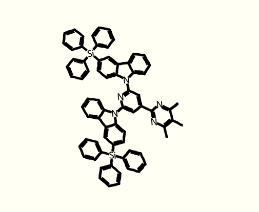 Cc1nc(-c2cc(-n3c4ccccc4c4cc([Si](c5ccccc5)(c5ccccc5)c5ccccc5)ccc43)nc(-n3c4ccccc4c4cc([Si](c5ccccc5)(c5ccccc5)c5ccccc5)ccc43)c2)nc(C)c1C